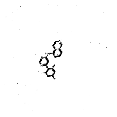 Cc1cc(C)c(-c2cc(Nc3cccc4cnccc34)ncn2)c(C)c1